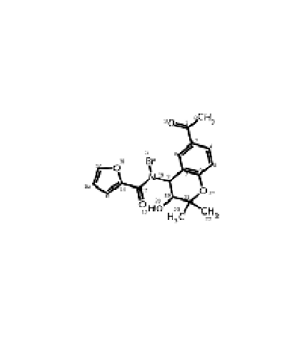 CC(=O)c1ccc2c(c1)C(N(Br)C(=O)c1ccco1)C(O)C(C)(C)O2